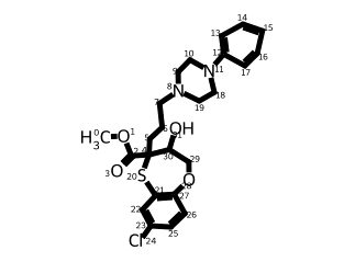 COC(=O)C1(CCCN2CCN(c3ccccc3)CC2)Sc2cc(Cl)ccc2OCC1O